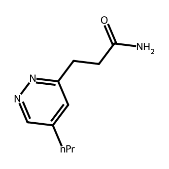 CCCc1cnnc(CCC(N)=O)c1